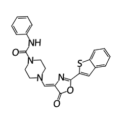 O=C1OC(c2cc3ccccc3s2)=NC1=CN1CCN(C(=O)Nc2ccccc2)CC1